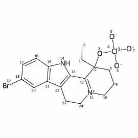 CCC1(O[Cl+3]([O-])([O-])[O-])CCC[N+]2=C1c1[nH]c3ccc(Br)cc3c1CC2